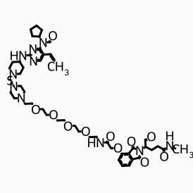 C/C=C\c1cnc(NC2CCN(SN3CCN(CCOCCOCCOCCOCCNC(=O)COc4cccc5c4C(=O)N(C(C=O)CCC(=O)NC)C5=O)CC3)CC2)nc1N(C=O)C1CCCC1